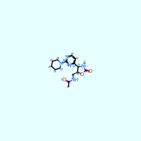 CC(=O)NC[C@@H]1OC(=O)N(F)C1c1ccnc(N2CCCCC2)n1